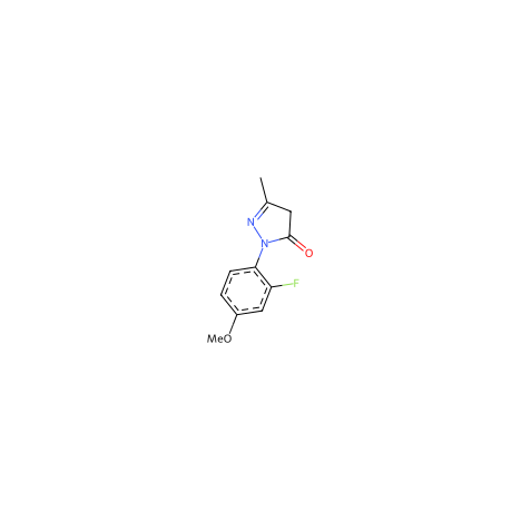 COc1ccc(N2N=C(C)CC2=O)c(F)c1